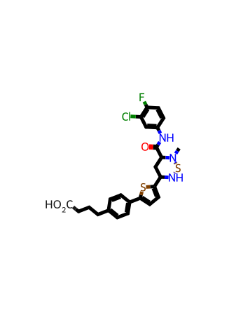 CN1SNC(c2ccc(-c3ccc(CCCC(=O)O)cc3)s2)CC1C(=O)Nc1ccc(F)c(Cl)c1